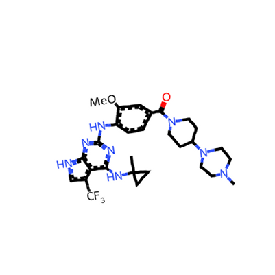 COc1cc(C(=O)N2CCC(N3CCN(C)CC3)CC2)ccc1Nc1nc(NC2(C)CC2)c2c(C(F)(F)F)c[nH]c2n1